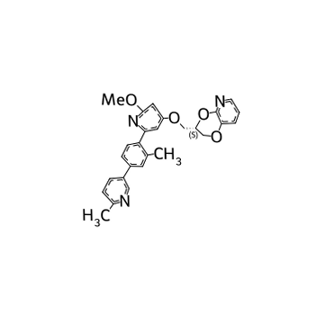 COc1cc(OC[C@H]2COc3cccnc3O2)cc(-c2ccc(-c3ccc(C)nc3)cc2C)n1